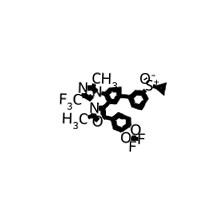 Cc1nc(-c2cc(-c3cccc([S+]([O-])C4CC4)c3)ccc2-n2cc(C(F)(F)F)nc2C)c(-c2ccc3c(c2)OC(F)(F)O3)o1